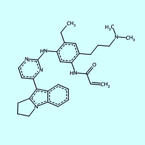 C=CC(=O)Nc1cc(Nc2nccc(-c3c4n(c5ccccc35)CCC4)n2)c(CC)cc1CCCN(C)C